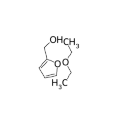 CCOCC.OCc1ccco1